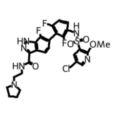 COc1ncc(Cl)cc1S(=O)(=O)Nc1ccc(F)c(-c2ccc3c(C(=O)NCCN4CCCC4)n[nH]c3c2F)c1F